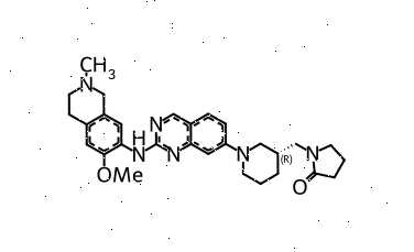 COc1cc2c(cc1Nc1ncc3ccc(N4CCC[C@@H](CN5CCCC5=O)C4)cc3n1)CN(C)CC2